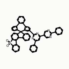 O=S1(=O)c2ccccc2-c2c1ccc1c2-c2ccccc2C12c1ccccc1-c1ccccc1-c1ccc(-c3nc(-c4ccccc4)cc(-c4cnc(-c5ccccc5)nc4)n3)cc12